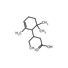 CCC(CC(=O)O)C1C(C)=CCCC1(C)C